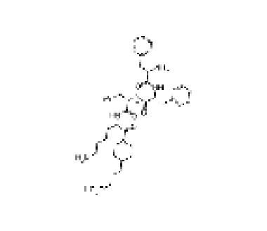 CC(C)C[C@@H](NC(=O)[C@@H](Cc1ccccc1)NC(=O)[C@H](N)Cc1ccccc1)C(=O)N[C@H](CCCCN)C(=O)N1CCC(CCCC(=O)O)CC1